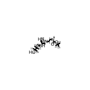 CN(CCN/C=C(/BOC(C)(C)C(C)(C)O)C=N)C(=O)OC(C)(C)C